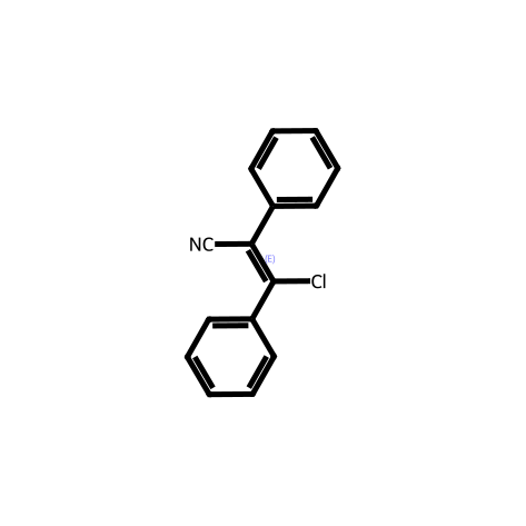 N#C/C(=C(/Cl)c1ccccc1)c1ccccc1